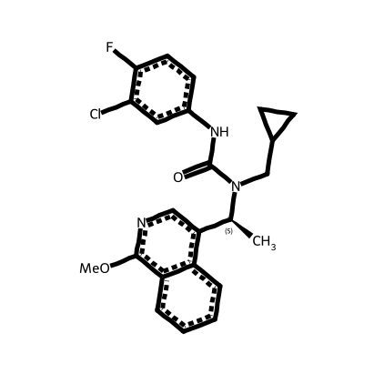 COc1ncc([C@H](C)N(CC2CC2)C(=O)Nc2ccc(F)c(Cl)c2)c2ccccc12